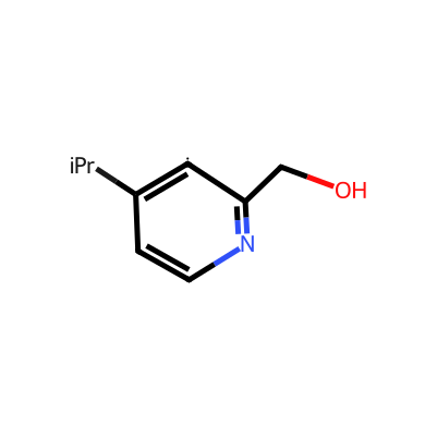 CC(C)c1[c]c(CO)ncc1